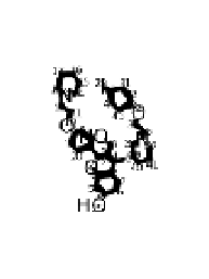 CC1=C(CO)C(c2ccc(OCCN3CCCCC3)cc2)Oc2cc(O)ccc21.Ic1ccc(OCCN2CCCCC2)cc1